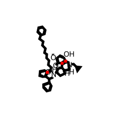 COc1cc(O)c2c3c1O[C@H]1[C@H](N(CC(c4ccccc4)c4ccccc4)C(=O)CCCCCCCCCCc4ccccc4)CC[C@H]4[C@@H](C2)N(CC2CC2)CC[C@@]341